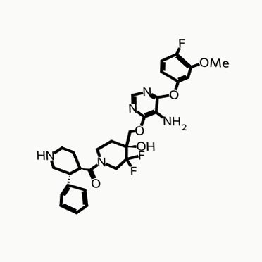 COc1cc(Oc2ncnc(OC[C@@]3(O)CCN(C(=O)[C@@H]4CCNC[C@H]4c4ccccc4)CC3(F)F)c2N)ccc1F